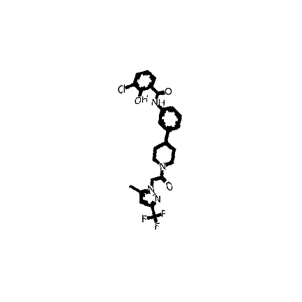 Cc1cc(C(F)(F)F)nn1CC(=O)N1CCC(c2cccc(NC(=O)c3cccc(Cl)c3O)c2)CC1